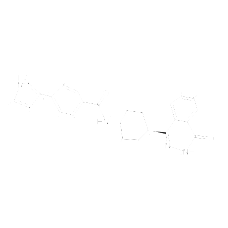 O=C(N[C@H]1CC[C@H](c2n[nH]c(=O)c3ccccc32)CC1)c1ccc(-c2cc[nH]n2)cc1